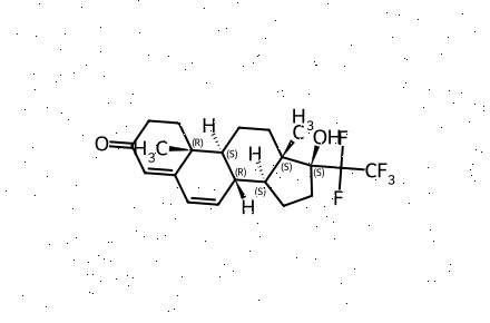 C[C@]12CCC(=O)C=C1C=C[C@@H]1[C@@H]2CC[C@@]2(C)[C@H]1CC[C@@]2(O)C(F)(F)C(F)(F)F